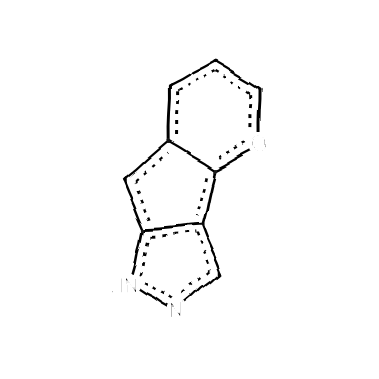 c1coc2c3cn[nH]c3cc-2c1